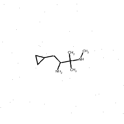 CNC(C)(C)C(N)CC1CC1